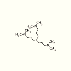 CN(C)CCC[C](CCCN(C)C)CCCN(C)C